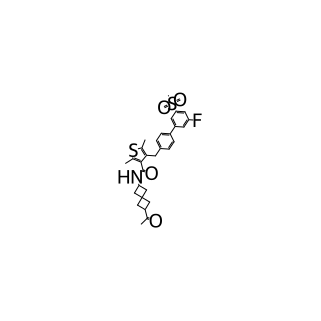 CC(=O)C1CC2(CC(NC(=O)c3c(C)sc(C)c3Cc3ccc(-c4cc(F)cc(S(C)(=O)=O)c4)cc3)C2)C1